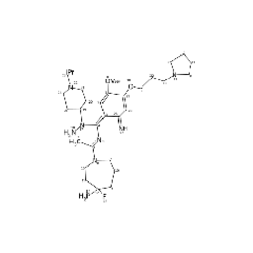 COC1=C/C(=C(/N=C(\C)N2CCCC(F)(P)CC2)N(N)C2CCN(C(C)C)CC2)C(=N)C=C1OCCCN1CCCC1